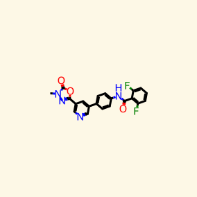 Cn1nc(-c2cncc(-c3ccc(NC(=O)c4c(F)cccc4F)cc3)c2)oc1=O